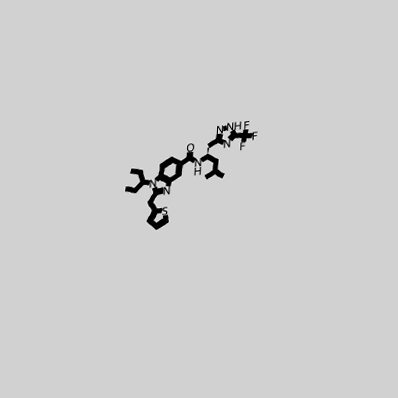 CCC(CC)n1c(Cc2cccs2)nc2cc(C(=O)N[C@H](Cc3n[nH]c(C(F)(F)F)n3)CC(C)C)ccc21